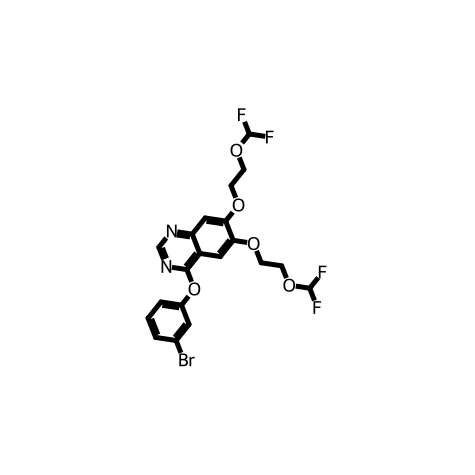 FC(F)OCCOc1cc2ncnc(Oc3cccc(Br)c3)c2cc1OCCOC(F)F